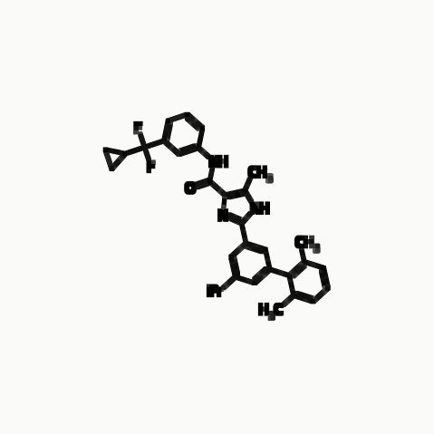 Cc1cccc(C)c1-c1cc(-c2nc(C(=O)Nc3cccc(C(F)(F)C4CC4)c3)c(C)[nH]2)cc(C(C)C)c1